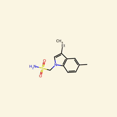 C.CCc1cn(CS(N)(=O)=O)c2ccc(C)cc12